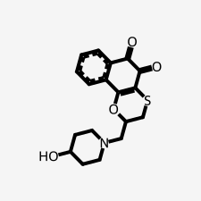 O=C1C(=O)c2ccccc2C2=C1SCC(CN1CCC(O)CC1)O2